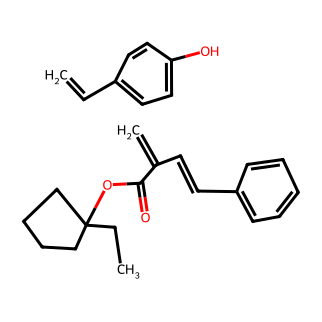 C=C(C=Cc1ccccc1)C(=O)OC1(CC)CCCC1.C=Cc1ccc(O)cc1